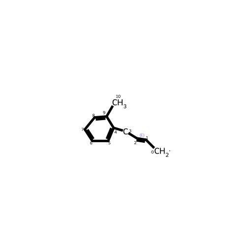 [CH2]/C=C/Cc1ccccc1C